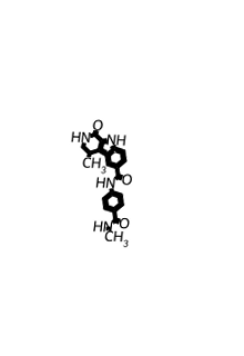 CNC(=O)c1ccc(NC(=O)c2ccc3[nH]c4c(c3c2)C(C)CNC4=O)cc1